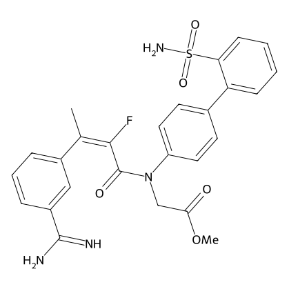 COC(=O)CN(C(=O)/C(F)=C(/C)c1cccc(C(=N)N)c1)c1ccc(-c2ccccc2S(N)(=O)=O)cc1